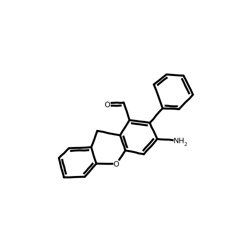 Nc1cc2c(c(C=O)c1-c1ccccc1)Cc1ccccc1O2